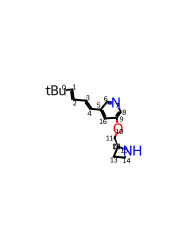 CC(C)(C)C=CC=Cc1cncc(OC[C@@H]2CCN2)c1